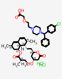 CC[C@H](C)C(=O)O[C@H]1C[C@@H](C)C=C2C=C[C@H](C)[C@H](CC[C@@H]3C[C@@H](O)CC(=O)O3)[C@H]21.Cl.Cl.O=C(O)COCCN1CCN(C(c2ccccc2)c2ccc(Cl)cc2)CC1